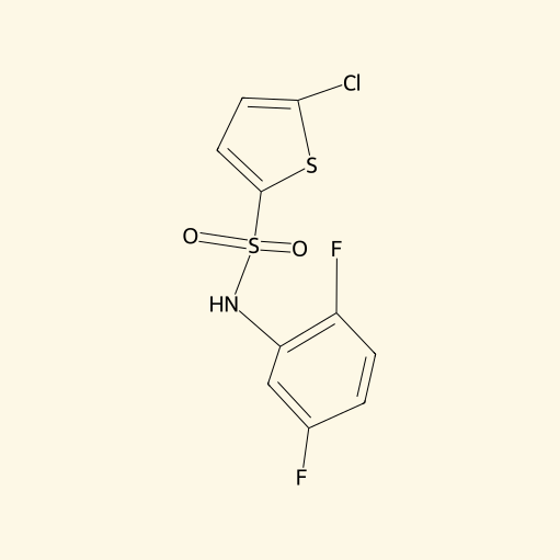 O=S(=O)(Nc1cc(F)ccc1F)c1ccc(Cl)s1